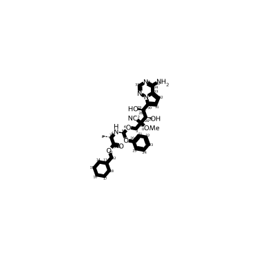 COC(C#N)(CO[C@@H](N[C@@H](C)C(=O)OCC1CCCCC1)Oc1ccccc1)[C@@H](O)[C@@H](O)c1ccc2c(N)ncnn12